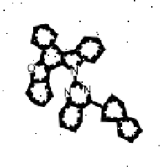 c1ccc2cc(-c3nc(-n4c5ccccc5c5c6ccccc6c6oc7ccccc7c6c54)nc4ccccc34)ccc2c1